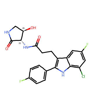 O=C(CCc1c(-c2ccc(F)cc2)[nH]c2c(Cl)cc(F)cc12)N[C@@H]1C(=O)NC[C@H]1O